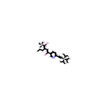 CCCC(/C=C(\I)c1ccc(C#C[Si](C(C)C)(C(C)C)C(C)C)nc1)=C(/I)[Si](C)(C)C